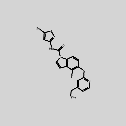 CNCc1cc(Oc2ccc3c(ccn3C(=O)Nc3cc(C(C)(C)C)on3)c2F)ncn1